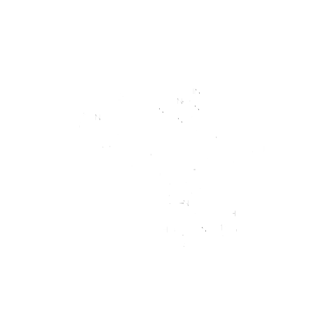 CCNc1nc(Cl)nc(NC(C)C)n1.CCOC(=O)COC(=O)c1cc(Oc2ccc(C(F)(F)F)cc2Cl)ccc1[N+](=O)[O-].CCc1cccc(C)c1N(C(=O)CCl)C(C)COC.O=C(O)CNCP(=O)(O)O